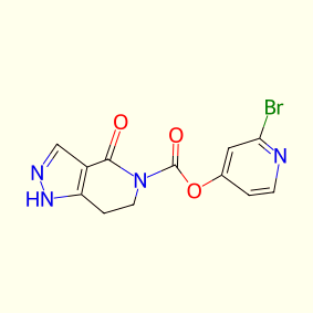 O=C(Oc1ccnc(Br)c1)N1CCc2[nH]ncc2C1=O